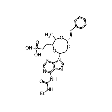 CCNC(=O)Nc1ncnc2c1ncn2[C@H]1CO[C@@H](/C=C/c2ccccc2)OC(C)[C@@H](CCP(=O)(O)N=O)O1